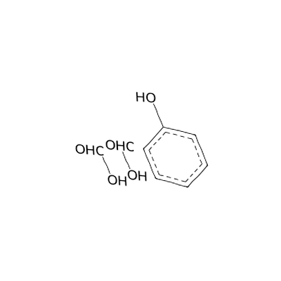 O=CO.O=CO.Oc1ccccc1